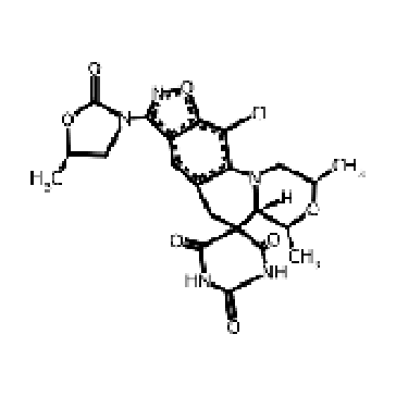 C[C@@H]1CN(c2noc3c(Cl)c4c(cc23)CC2(C(=O)NC(=O)NC2=O)[C@H]2[C@H](C)O[C@H](C)CN42)C(=O)O1